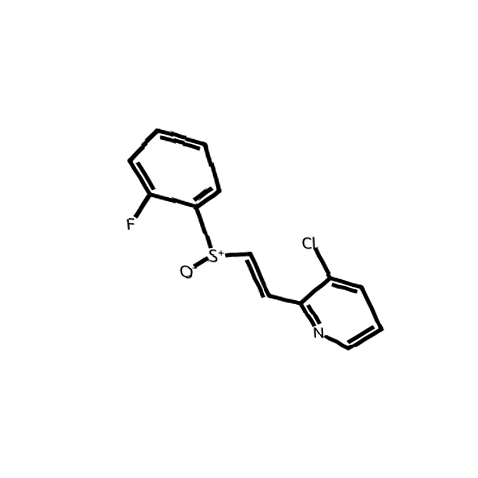 [O-][S+](/C=C/c1ncccc1Cl)c1ccccc1F